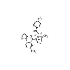 Cc1ccc(-n2nccn2)c(C(=O)N2C3CC(C3)[C@H](C)[C@@H]2CNc2ccc(C(F)(F)F)cn2)n1